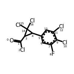 O=C(Cl)C1C(c2cc(F)c(Cl)c(Cl)c2)C1(Cl)Cl